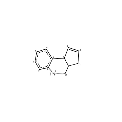 C1=CC2c3ccccc3NCC2C1